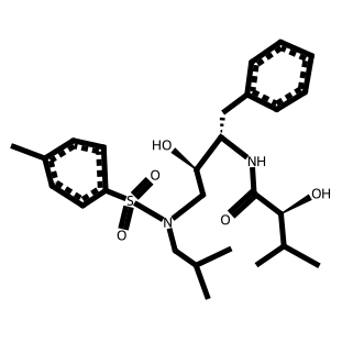 Cc1ccc(S(=O)(=O)N(CC(C)C)C[C@@H](O)[C@H](Cc2ccccc2)NC(=O)[C@@H](O)C(C)C)cc1